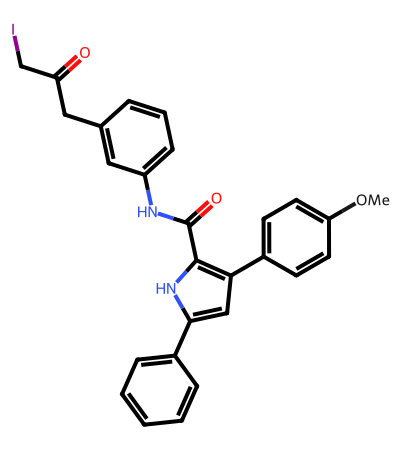 COc1ccc(-c2cc(-c3ccccc3)[nH]c2C(=O)Nc2cccc(CC(=O)CI)c2)cc1